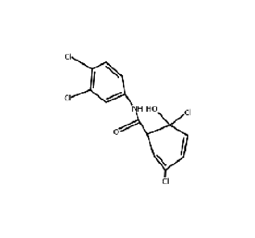 O=C(Nc1ccc(Cl)c(Cl)c1)C1C=C(Cl)C=CC1(O)Cl